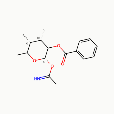 CC(=N)O[C@@H]1OC(C)[C@H](C)[C@H](C)C1OC(=O)c1ccccc1